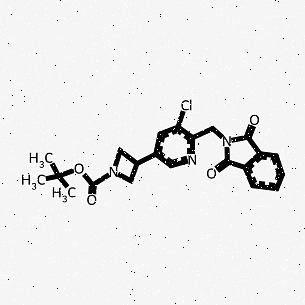 CC(C)(C)OC(=O)N1CC(c2cnc(CN3C(=O)c4ccccc4C3=O)c(Cl)c2)C1